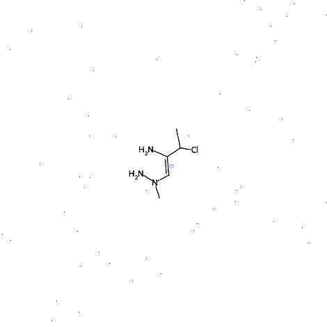 CC(Cl)/C(N)=C/N(C)N